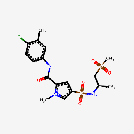 Cc1cc(NC(=O)c2cc(S(=O)(=O)N[C@H](C)CS(C)(=O)=O)cn2C)ccc1F